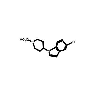 O=C(O)N1CCC(n2ccc3cc(Cl)ccc32)CC1